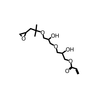 C=CC(=O)OCC(O)COCC(O)COC(C)(C)CC1CO1